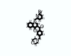 O=C(c1ccc(CN2CCOCC2)cc1)c1cn(Cc2cccc(Br)n2)c2ccccc2c1=O